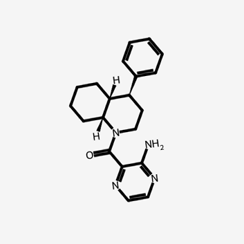 Nc1nccnc1C(=O)N1CC[C@H](c2ccccc2)[C@H]2CCCC[C@H]21